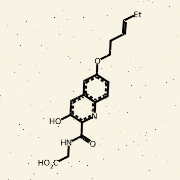 CC/C=C/CCOc1ccc2nc(C(=O)NCC(=O)O)c(O)cc2c1